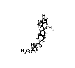 COc1nsc(NC(=O)N2CCC3(CCC(N(C)c4ncnc5[nH]ccc45)CC3)CC2)n1